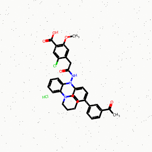 COc1cc(CC(=O)NN(c2ccc(-c3cccc(C(C)=O)c3)cc2)c2ccccc2N2CCCCC2)c(Cl)cc1C(=O)O.Cl